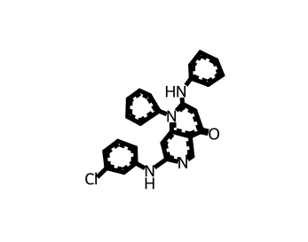 O=c1cc(Nc2ccccc2)n(-c2ccccc2)c2cc(Nc3cccc(Cl)c3)ncc12